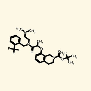 CC(Oc1cccc2c1CN(C(=O)OC(C)(C)C)CC2)C(=O)N(CCN(C)C)Cc1ccccc1C(F)(F)F